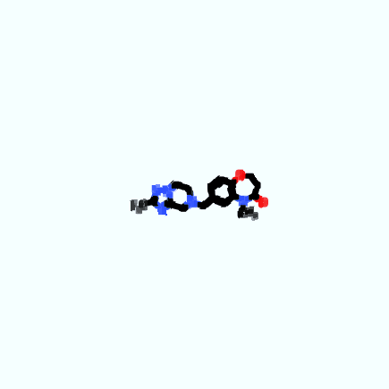 CN1C(=O)CCOc2ccc(CN3CCn4nc(C(F)(F)F)nc4C3)cc21